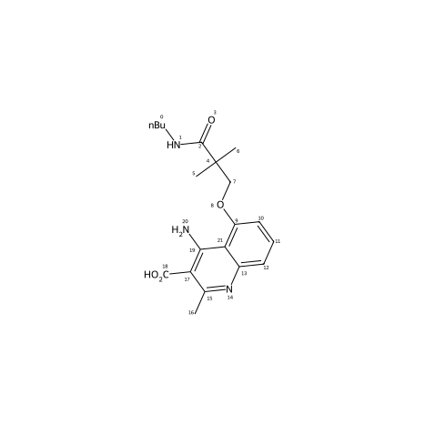 CCCCNC(=O)C(C)(C)COc1cccc2nc(C)c(C(=O)O)c(N)c12